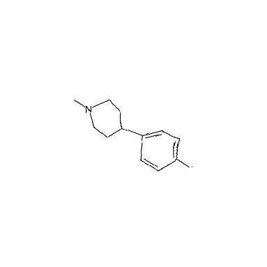 [CH2]c1ccc(C2CCN(C)CC2)cc1